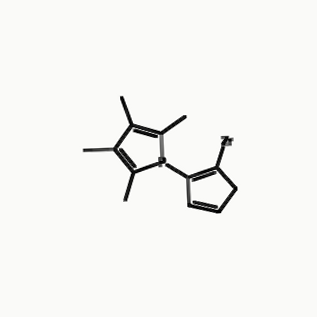 Cc1c(C)c(C)p(C2=[C]([Zr])CC=C2)c1C